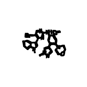 COc1cc(N2CCOCC2)c(-c2cnn(C)c2)cc1Nc1ncc(Br)c(-c2cn(C)c3ccccc23)n1